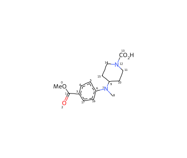 COC(=O)c1ccc(N(C)C2CCN(C(=O)O)CC2)cc1